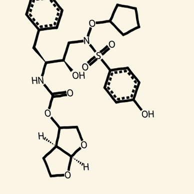 O=C(N[C@@H](Cc1ccccc1)[C@H](O)CN(OC1CCCC1)S(=O)(=O)c1ccc(O)cc1)OC1CO[C@H]2OCC[C@@H]12